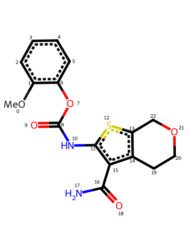 COc1ccccc1OC(=O)Nc1sc2c(c1C(N)=O)CCOC2